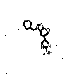 CNc1ncc(C2=COC3N=CN(CC4CCCCC4)C3=C2)cn1